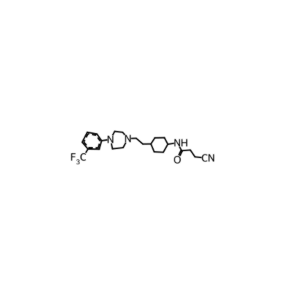 N#CCCC(=O)NC1CCC(CCN2CCN(c3cccc(C(F)(F)F)c3)CC2)CC1